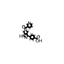 O=C(O)c1ccc(-c2n[nH]c3c2CN(C(=O)c2cccnc2)C3)cc1